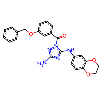 Nc1nc(Nc2ccc3c(c2)OCCO3)n(C(=O)c2cccc(OCc3ccccc3)c2)n1